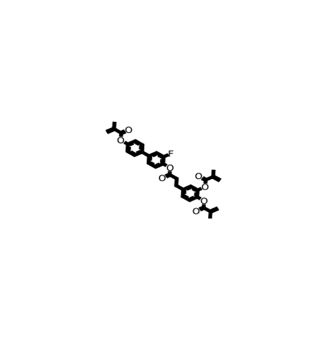 C=C(C)C(=O)Oc1ccc(-c2ccc(OC(=O)CCc3ccc(OC(=O)C(=C)C)c(OC(=O)C(=C)C)c3)c(F)c2)cc1